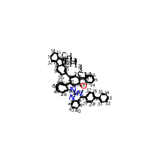 CC12C=C(C3=CC4(C)C(C=C3)c3ccccc3C4(C)C)c3c(n(-c4nc(-c5ccc(-c6ccccc6)cc5)c5ccccc5n4)c4ccccc34)C1Oc1ccccc12